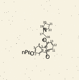 CCCOc1ccc2c(c1)C(=O)c1cccc(OCCN3CCCC3)c1-2